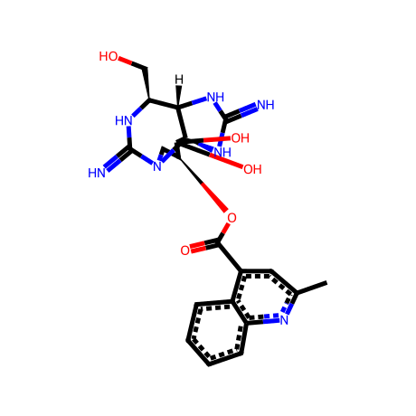 Cc1cc(C(=O)O[C@H]2CN3C(=N)N[C@@H](CO)[C@@H]4NC(=N)N[C@@]43C2(O)O)c2ccccc2n1